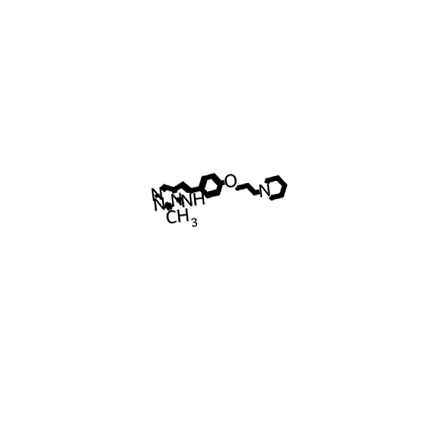 CC1=NN=CC2C=C(c3ccc(OCCCN4CCCCC4)cc3)NN12